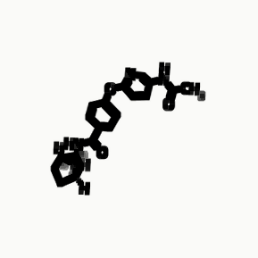 CC(=O)Nc1ccc(Oc2ccc(C(=O)N[C@@H]3C[C@H]4CC[C@@H]3N4)cc2)nc1